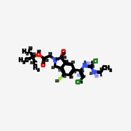 C\C=N/C(Cl)=N\C(=C\Cl)c1cc(F)c2c(c1)C(=O)N(CC(=O)OC(C)(C)C)C2